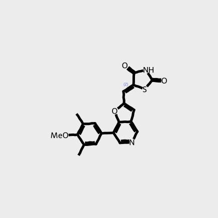 COc1c(C)cc(-c2cncc3cc(/C=C4\SC(=O)NC4=O)oc23)cc1C